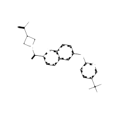 CC(=O)C1CN(C(=O)c2ccc3cc(Oc4ccc(C(F)(F)F)cn4)ccc3n2)C1